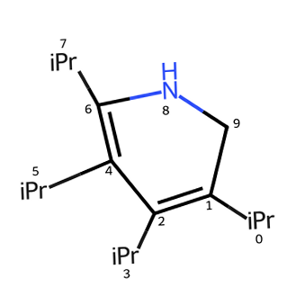 CC(C)C1=C(C(C)C)C(C(C)C)=C(C(C)C)NC1